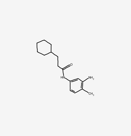 Cc1ccc(NC(=O)CCC2CCCCC2)cc1N